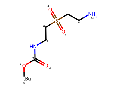 CC(C)(C)OC(=O)NCCS(=O)(=O)CCN